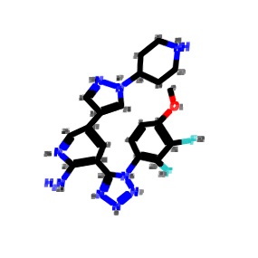 COc1ccc(-n2nnnc2-c2cc(-c3cnn(C4CCNCC4)c3)cnc2N)c(F)c1F